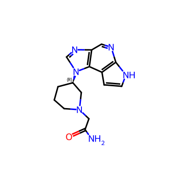 NC(=O)CN1CCC[C@@H](n2cnc3cnc4[nH]ccc4c32)C1